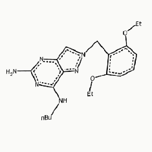 CCCCNc1nc(N)nc2cn(Cc3c(OCC)cccc3OCC)nc12